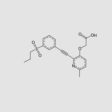 CCCS(=O)(=O)c1cccc(C#Cc2nc(C)ccc2OCC(=O)O)c1